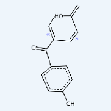 C=C(O)/C=C\C(=C/C)C(=O)c1ccc(O)cc1